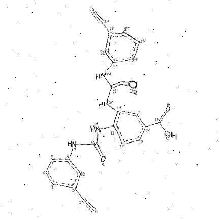 C#Cc1cccc(NC(=O)Nc2ccc(C(=O)O)cc2NC(=O)Nc2cccc(C#C)c2)c1